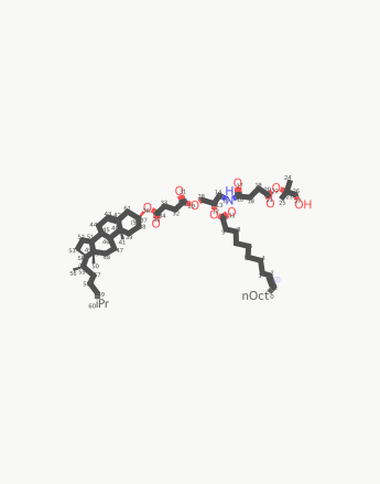 CCCCCCCC/C=C\CCCCCCCC(=O)OC(CNC(=O)CCC(=O)OC(C)(C)CO)COC(=O)CCC(=O)O[C@H]1CC[C@@]2(C)C(=CCC3C2CC[C@@]2(C)C3CC[C@@H]2[C@H](C)CCCC(C)C)C1